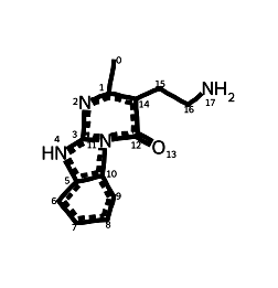 Cc1nc2[nH]c3ccccc3n2c(=O)c1CCN